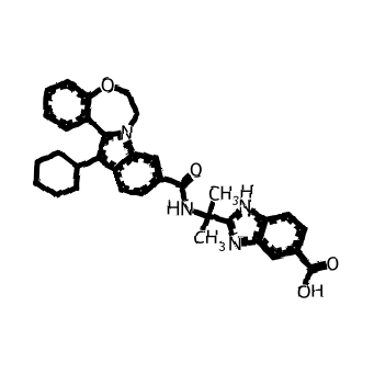 CC(C)(NC(=O)c1ccc2c(C3CCCCC3)c3n(c2c1)CCOc1ccccc1-3)c1nc2cc(C(=O)O)ccc2[nH]1